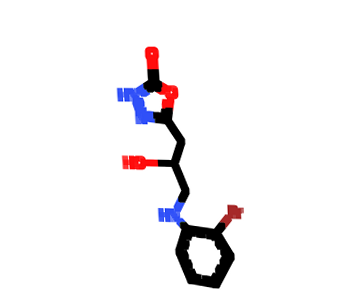 O=c1[nH]nc(CC(O)CNc2ccccc2Br)o1